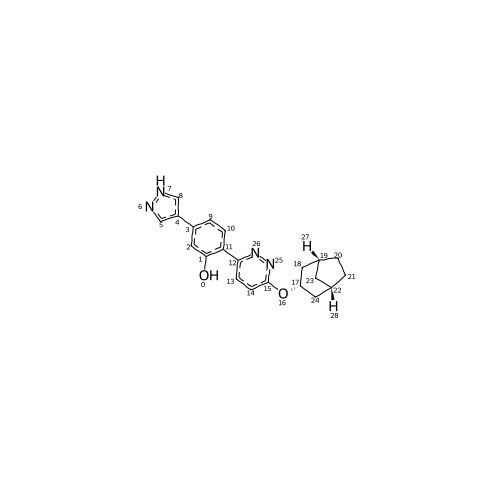 Oc1cc(-c2cn[nH]c2)ccc1-c1ccc(O[C@@H]2C[C@@H]3CC[C@@H](C3)C2)nn1